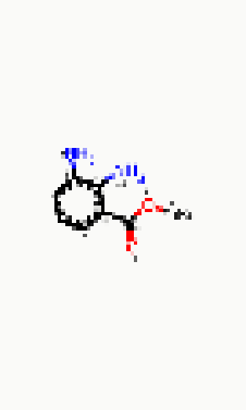 CCCCOC(=O)c1cccc(N)c1N